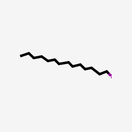 CCCCCCCCCCCCCCI